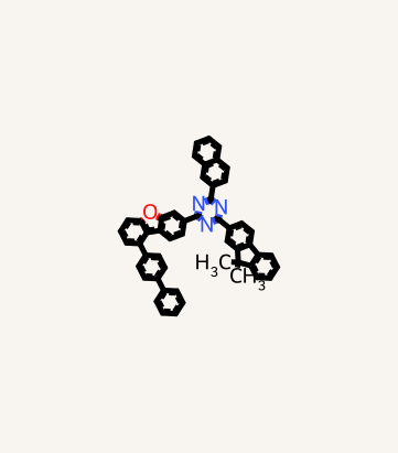 CC1(C)c2ccccc2-c2ccc(-c3nc(-c4ccc5ccccc5c4)nc(-c4ccc5c(c4)oc4cccc(-c6ccc(-c7ccccc7)cc6)c45)n3)cc21